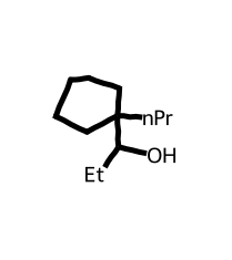 CCCC1(C(O)CC)CCCCC1